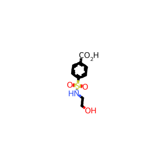 O=C(O)c1ccc(S(=O)(=O)NCCO)cc1